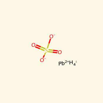 O=S(=O)([O-])[O-].[PbH4+2]